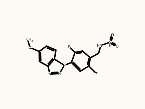 COc1ccc2c(c1)nnn2-c1cc(F)c(CN[SH](=O)=O)cc1F